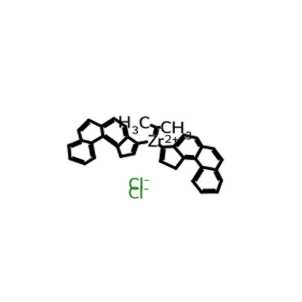 C[C](C)=[Zr+2]([C]1=CCc2c1ccc1ccc3ccccc3c21)[C]1=CCc2c1ccc1ccc3ccccc3c21.[Cl-].[Cl-]